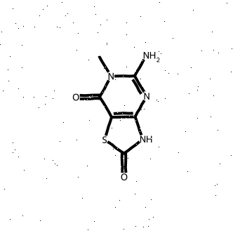 Cn1c(N)nc2[nH]c(=O)sc2c1=O